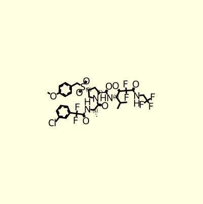 COc1ccc(CS(=O)(=O)[C@@H]2C[C@@H](C(=O)N[C@H](C(=O)C(F)(F)C(=O)NCC(F)(F)F)C(C)C)N(C(=O)[C@H](C)NC(=O)C(F)(F)c3cccc(Cl)c3)C2)cc1